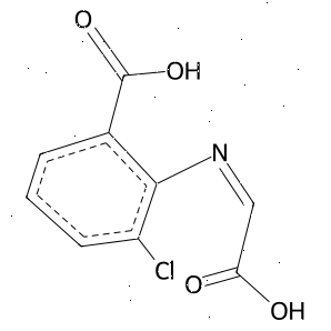 O=C(O)/C=N\c1c(Cl)cccc1C(=O)O